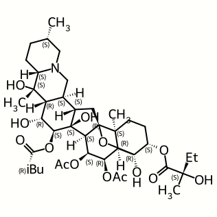 CC[C@@H](C)C(=O)O[C@H]1[C@H](O)[C@H]2[C@@H](CN3C[C@@H](C)CC[C@H]3[C@@]2(C)O)[C@@H]2C[C@]34O[C@@]5(O)[C@@H](OC(=O)[C@@](C)(O)CC)CC[C@@]3(C)[C@@H]5[C@@H](OC(C)=O)[C@@H](OC(C)=O)[C@H]4[C@@]21O